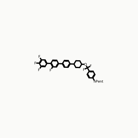 CCCCCc1ccc(C(F)(F)OC2CCC(c3ccc(-c4ccc(-c5cc(F)c(F)c(F)c5)c(F)c4)cc3)CC2)cc1